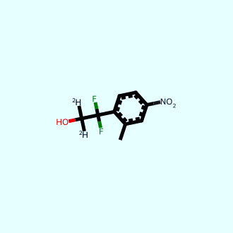 [2H]C([2H])(O)C(F)(F)c1ccc([N+](=O)[O-])cc1C